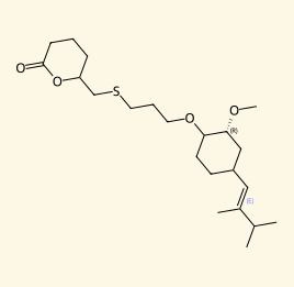 CO[C@@H]1CC(/C=C(\C)C(C)C)CCC1OCCCSCC1CCCC(=O)O1